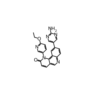 CCOc1ccc(-n2c(=O)ccc3cnc4ccc(-c5cnc(N)nc5)cc4c32)cn1